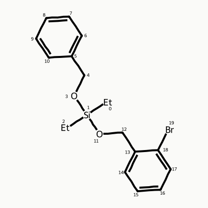 CC[Si](CC)(OCc1ccccc1)OCc1ccccc1Br